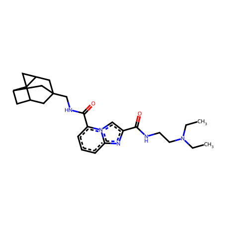 CCN(CC)CCNC(=O)c1cn2c(C(=O)NCC34CC5CC(C3)C53CC3C4)cccc2n1